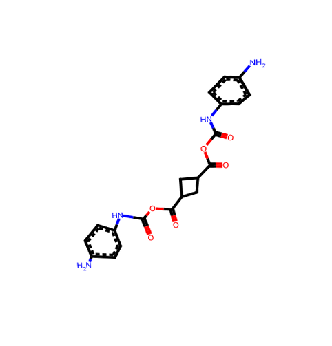 Nc1ccc(NC(=O)OC(=O)C2CC(C(=O)OC(=O)Nc3ccc(N)cc3)C2)cc1